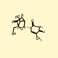 Cc1cn([C@@H]2O[C@]3(CO)C(=O)NC2C3O)c(=O)[nH]c1=O